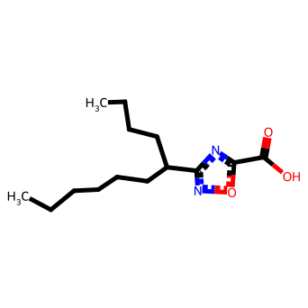 CCCCCCC(CCCC)c1noc(C(=O)O)n1